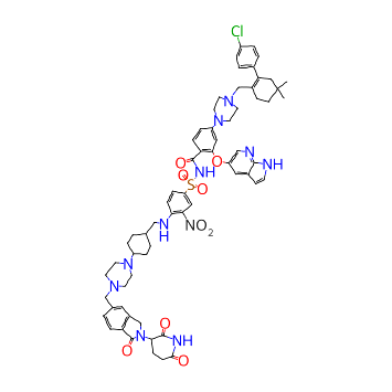 CC1(C)CCC(CN2CCN(c3ccc(C(=O)NS(=O)(=O)c4ccc(NCC5CCC(N6CCN(Cc7ccc8c(c7)CN(C7CCC(=O)NC7=O)C8=O)CC6)CC5)c([N+](=O)[O-])c4)c(Oc4cnc5[nH]ccc5c4)c3)CC2)=C(c2ccc(Cl)cc2)C1